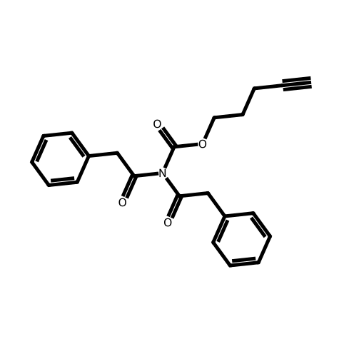 C#CCCCOC(=O)N(C(=O)Cc1ccccc1)C(=O)Cc1ccccc1